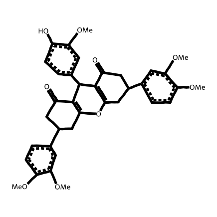 COc1cc(C2C3=C(CC(c4ccc(OC)c(OC)c4)CC3=O)OC3=C2C(=O)CC(c2ccc(OC)c(OC)c2)C3)ccc1O